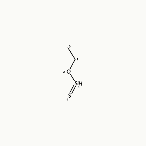 CCO[SiH]=S